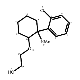 CNC1(c2ccccc2Cl)CCCCC1OCCO